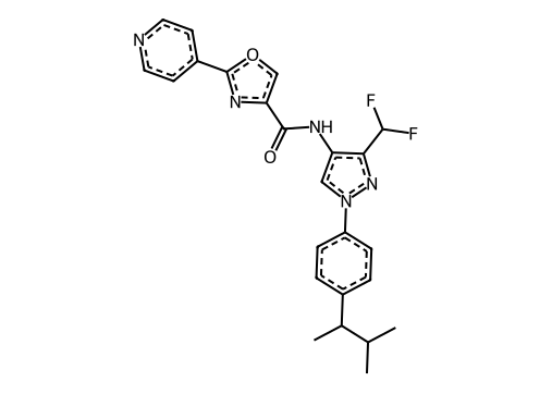 CC(C)C(C)c1ccc(-n2cc(NC(=O)c3coc(-c4ccncc4)n3)c(C(F)F)n2)cc1